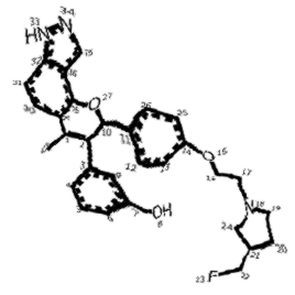 CC1=C(c2cccc(O)c2)C(c2ccc(OCCN3CC[C@@H](CF)C3)cc2)Oc2c1ccc1[nH]ncc21